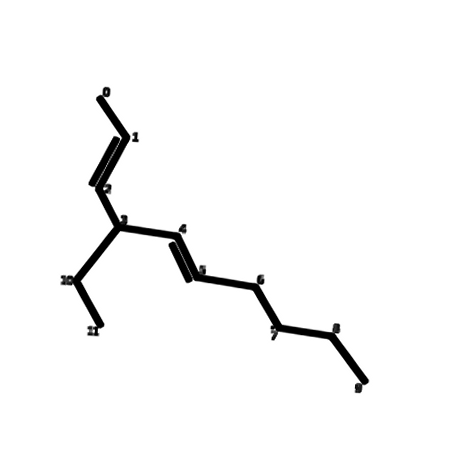 CC=CC(C=CC[CH]CC)CC